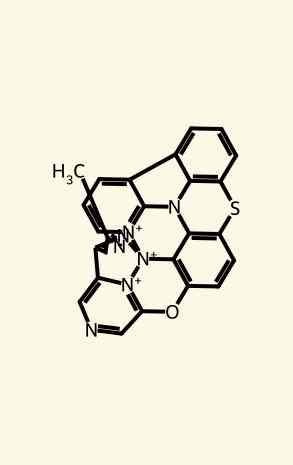 Cc1cc2n(n1)[N+]13c4c(ccc5c4-n4c6c(cccc6c6ccc[n+]1c64)S5)Oc1cncc-2[n+]13